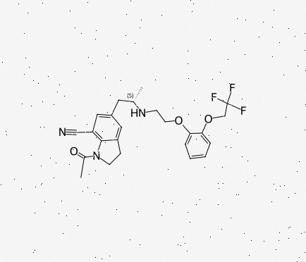 CC(=O)N1CCc2cc(C[C@H](C)NCCOc3ccccc3OCC(F)(F)F)cc(C#N)c21